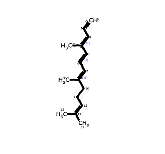 [CH]=C/C=C(C)/C=C/C=C(\C)CCC=C(C)C